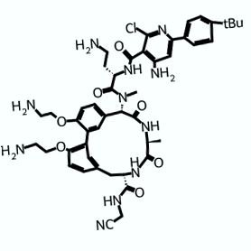 C[C@@H]1NC(=O)[C@@H](N(C)C(=O)[C@H](CCN)NC(=O)c2c(N)cc(-c3ccc(C(C)(C)C)cc3)nc2Cl)c2ccc(OCCN)c(c2)-c2cc(ccc2OCCN)C[C@@H](C(=O)NCC#N)NC1=O